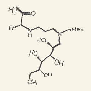 CCCCCCN(CCCN[C@@H](CC)C(N)=O)C[C@H](O)[C@@H](O)[C@H](O)[C@H](O)CO